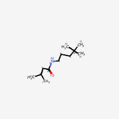 CC(C)CC(=O)NCCCC(C)(C)C